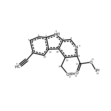 C#Cc1ccc2[nH]c3cnc(C(=O)OC(C)C)c(COC)c3c2c1